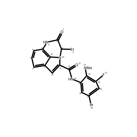 CCC1C(=O)Nc2cccc3cc(C(=O)Nc4cc(Br)cc(F)c4NC)n1c23